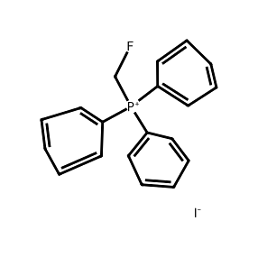 FC[P+](c1ccccc1)(c1ccccc1)c1ccccc1.[I-]